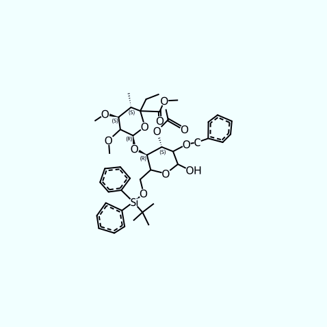 CCC1(C(=O)OC)O[C@@H](O[C@@H]2C(CO[Si](c3ccccc3)(c3ccccc3)C(C)(C)C)OC(O)C(OCc3ccccc3)[C@H]2OC(C)=O)C(OC)[C@@H](OC)[C@@H]1C